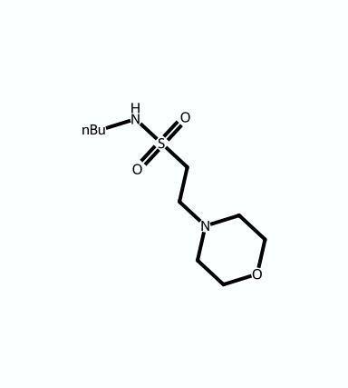 CCCCNS(=O)(=O)CCN1CCOCC1